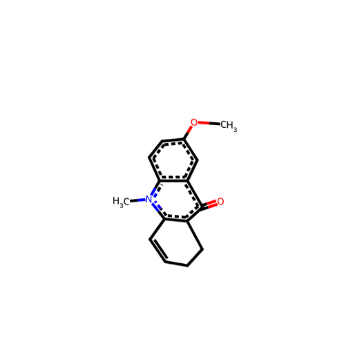 COc1ccc2c(c1)c(=O)c1c(n2C)C=CCC1